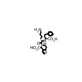 NCCCC[C@H](N[C@@H](CCc1ccccc1)C(=O)O)C(=O)N1CCc2sccc2[C@H]1C(=O)O